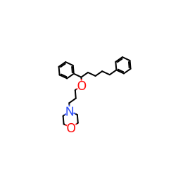 c1ccc(CCCCC(OCCCN2CCOCC2)c2ccccc2)cc1